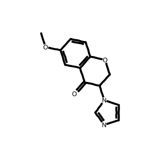 COc1ccc2c(c1)C(=O)C(n1ccnc1)CO2